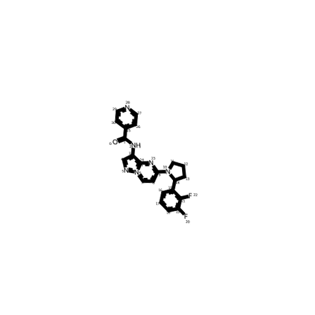 O=C(Nc1cnn2ccc(N3CCCC3c3cccc(F)c3F)nc12)c1ccncc1